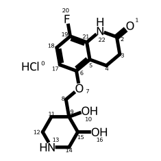 Cl.O=C1CCc2c(OCC3(O)CCNCC3O)ccc(F)c2N1